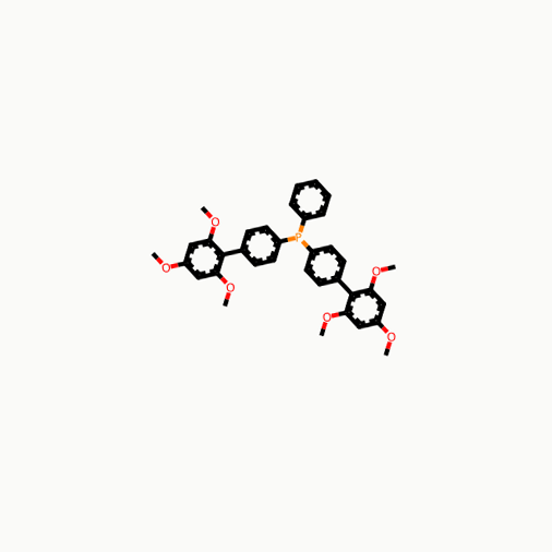 COc1cc(OC)c(-c2ccc(P(c3ccccc3)c3ccc(-c4c(OC)cc(OC)cc4OC)cc3)cc2)c(OC)c1